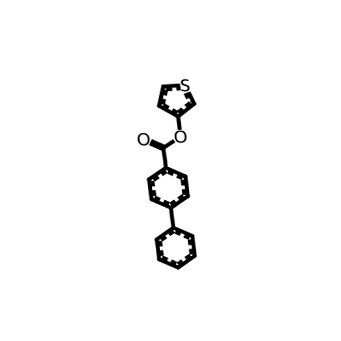 O=C(Oc1ccsc1)c1ccc(-c2ccccc2)cc1